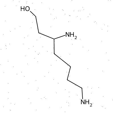 NCCCCC(N)CCO